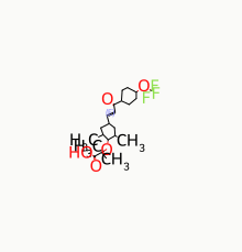 CC1CC(/C=C/C(=O)C2CCC(OC(F)(F)F)CC2)CC(C)C1OC(C)(C)C(=O)O